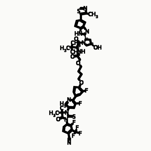 Cc1ncsc1-c1ccc2[nH]c([C@@H]3C[C@@H](O)CN3C(=O)[C@@H](NC(=O)COCCCCOc3ccc(-c4ncc(N5C(=S)N(c6ccc(C#N)c(C(F)(F)F)c6F)C(=O)C5(C)C)cc4F)cc3F)C(C)(C)C)nc2c1